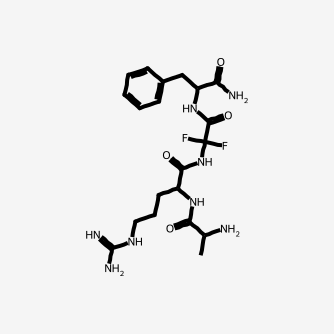 CC(N)C(=O)NC(CCCNC(=N)N)C(=O)NC(F)(F)C(=O)NC(Cc1ccccc1)C(N)=O